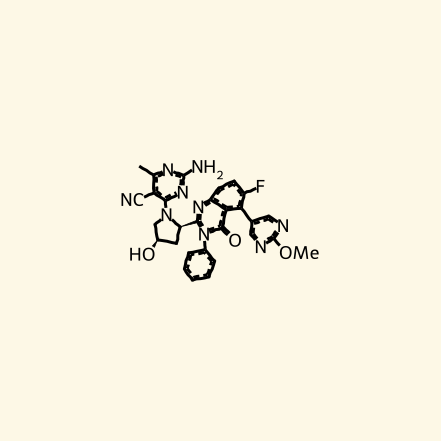 COc1ncc(-c2c(F)ccc3nc([C@H]4C[C@@H](O)CN4c4nc(N)nc(C)c4C#N)n(-c4ccccc4)c(=O)c23)cn1